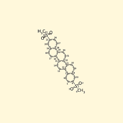 CS(=O)(=O)c1ccc2c(ccc3c2ccc2c4ccc5cc(S(C)(=O)=O)ccc5c4ccc32)c1